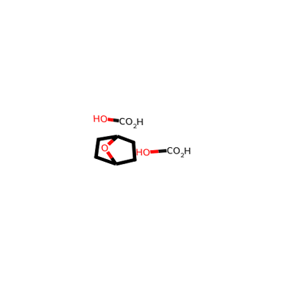 C1CC2CCC1O2.O=C(O)O.O=C(O)O